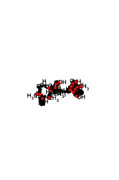 CCC[C@@H]1NC(=O)[C@H](Cc2c3n(c4ncccc24)C3)NC(=O)[C@H](CC)NC(=O)[C@@H](NC(=O)[C@H](Cc2ccc(O)cc2)NC(=O)C(NC(=O)CCSCc2cccc(CSC[C@H](NC(=O)[C@H](CC)NC(=O)C(NC(=O)[C@H](Cc3ccc(O)cc3)NC)C3CCCCC3)C(N)=O)c2)C(C)(C)C)CCCNC(=O)C[C@H](C=O)NC1=O